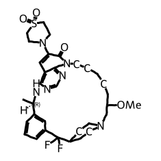 COC1CCCCCn2c(=O)c(N3CCS(=O)(=O)CC3)cc3c(ncnc32)N[C@H](C)c2cccc(c2)C(F)(F)C2CCN(CC2)C1